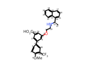 COc1ccc(-c2cc(OCCN[C@H](C)c3cccc4ccccc34)cc(C(=O)O)c2)cc1C(F)(F)F